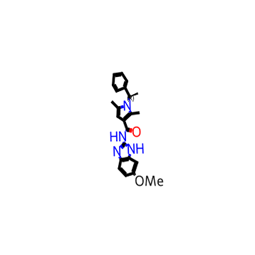 COc1ccc2nc(NC(=O)c3cc(C)n([C@H](C)c4ccccc4)c3C)[nH]c2c1